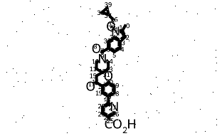 Cc1cc2ccc(C(=O)N3CCC4(CC3)CC(=O)c3cc(-c5ccc(C(=O)O)cn5)ccc3O4)cc2n1OCC1CC1